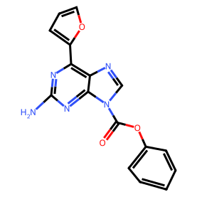 Nc1nc(-c2ccco2)c2ncn(C(=O)Oc3ccccc3)c2n1